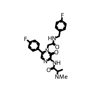 CNC(C)C(=O)Nc1ncc(-c2ccc(F)cc2)n(CC(=O)NCc2ccc(F)cc2)c1=O